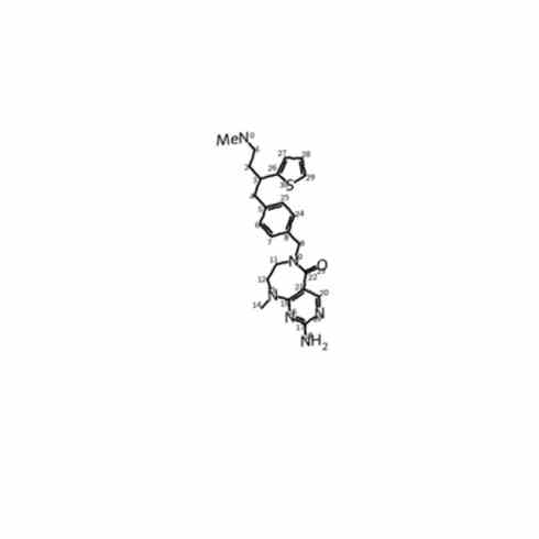 CNCCC(Cc1ccc(CN2CCN(C)c3nc(N)ncc3C2=O)cc1)c1cccs1